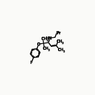 CC(C)=CC(NCC(C)C)C(C)(C)Oc1ccc(F)cc1